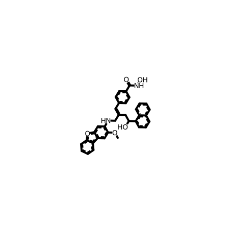 COc1cc2c(cc1NCC(=Cc1ccc(C(=O)NO)cc1)CC(O)c1cccc3ccccc13)oc1ccccc12